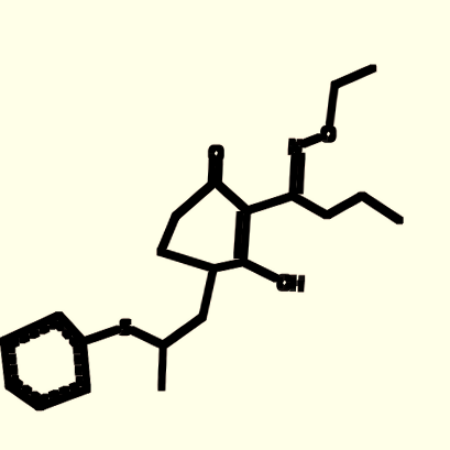 CCCC(=NOCC)C1=C(O)C(CC(C)Sc2ccccc2)CCC1=O